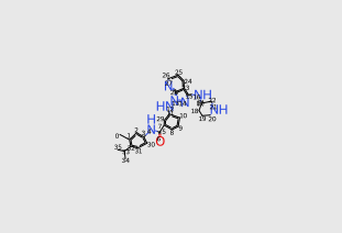 Cc1cc(NC(=O)c2cccc(Nn3nc(N[C@@H]4CCCNC4)c4cccnc43)c2)ccc1C(C)C